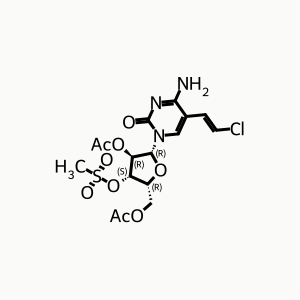 CC(=O)OC[C@H]1O[C@@H](n2cc(C=CCl)c(N)nc2=O)[C@H](OC(C)=O)[C@H]1OS(C)(=O)=O